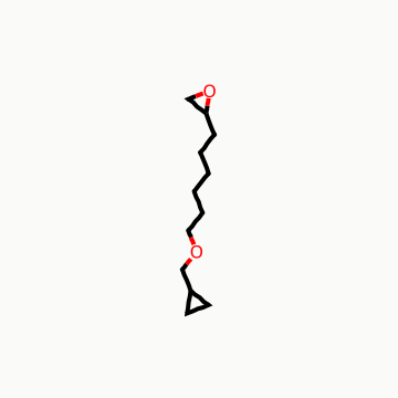 C(CCCC1CO1)CCOCC1CC1